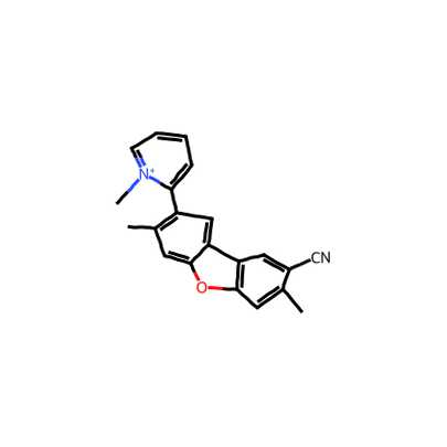 Cc1cc2oc3cc(C)c(-c4cccc[n+]4C)cc3c2cc1C#N